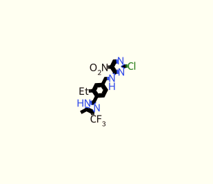 CCc1cc(CNc2nc(Cl)ncc2[N+](=O)[O-])ccc1-c1nc(C(F)(F)F)c(C)[nH]1